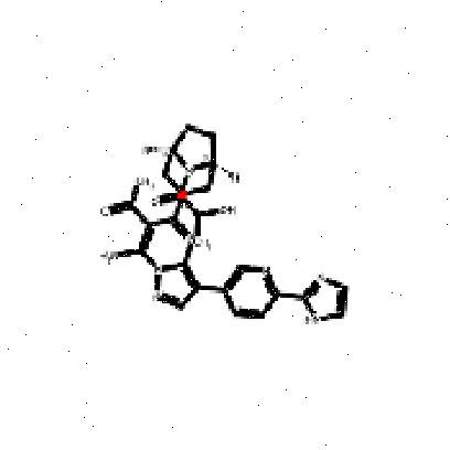 CC(=O)c1c(C2C[C@H]3CC[C@@H](C2)N3C(=O)C(C)O)nc2c(-c3ccc(-c4ncc[nH]4)nc3)cnn2c1N